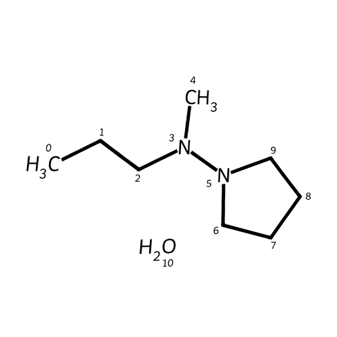 CCCN(C)N1CCCC1.O